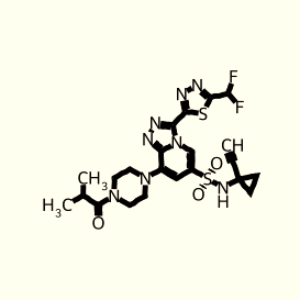 C#CC1(NS(=O)(=O)c2cc(N3CCN(C(=O)C(C)C)CC3)c3nnc(-c4nnc(C(F)F)s4)n3c2)CC1